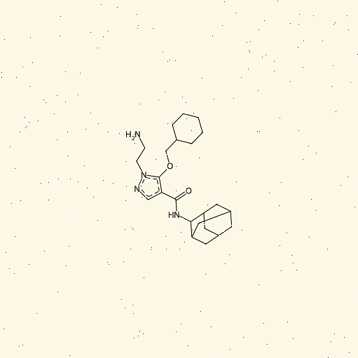 NCCn1ncc(C(=O)NC2C3CC4CC(C3)CC2C4)c1OCC1CCCCC1